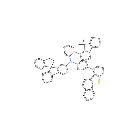 CC1(C)c2ccccc2-c2cccc(-c3ccccc3N(c3ccc(-c4cccc5sc6c7ccccc7ccc6c45)cc3)c3ccc4c(c3)C3(CCc5ccccc53)c3ccccc3-4)c21